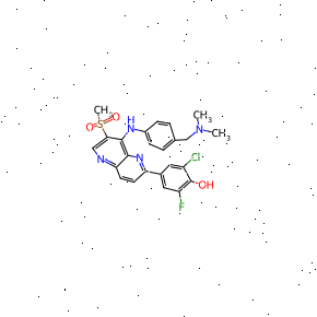 CN(C)Cc1ccc(Nc2c(S(C)(=O)=O)cnc3ccc(-c4cc(F)c(O)c(Cl)c4)nc23)cc1